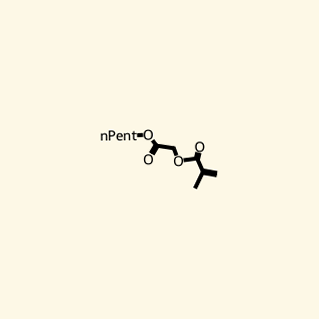 C=C(C)C(=O)OCC(=O)OCCCCC